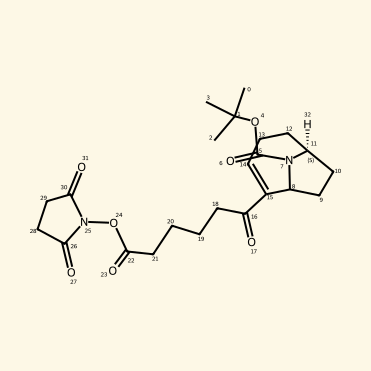 CC(C)(C)OC(=O)N1C2CC[C@@H]1CCC=C2C(=O)CCCCC(=O)ON1C(=O)CCC1=O